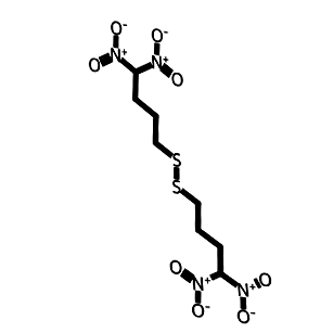 O=[N+]([O-])C(CCCSSCCCC([N+](=O)[O-])[N+](=O)[O-])[N+](=O)[O-]